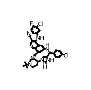 CC(C)(C)N1CCC(N2C=C([C@@H](Nc3cc(C#N)c4ncc(C#N)c(Nc5ccc(F)c(Cl)c5)c4c3)c3ccc(Cl)cc3)NN2)CC1